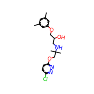 Cc1cc(C)cc(OCC(O)CNC(C)(C)COc2ccc(Cl)nn2)c1